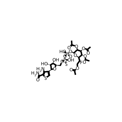 CC(=O)OC[C@H](F)[C@H]1O[C@@H](OP(=O)(O)OP(O)(=S)OC[C@H]2O[C@@H](c3csc(C(N)=O)c3N)[C@H](O)[C@@H]2O)[C@@H](OC(C)=O)[C@@H](OC(C)=O)[C@@H]1OC(C)=O